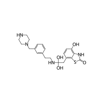 O=c1[nH]c2c(O)ccc(CC(O)(O)NCCc3cccc(CN4CCNCC4)c3)c2s1